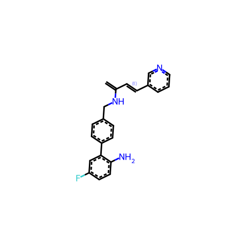 C=C(/C=C/c1cccnc1)NCc1ccc(-c2cc(F)ccc2N)cc1